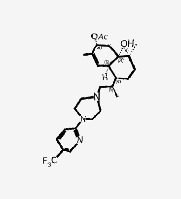 CC(=O)O[C@@H]1[C][C@@]2(O)[C@H](C)CC[C@@H]([C@@H](C)CN3CCN(c4ccc(C(F)(F)F)cn4)CC3)[C@H]2C=C1C